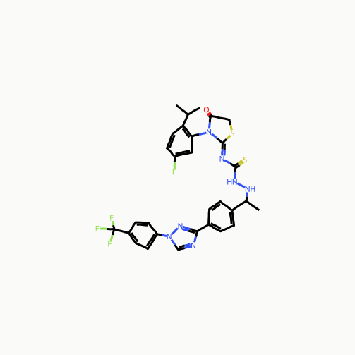 CC(C)c1ccc(F)cc1N1C(=O)CS/C1=N\C(=S)NNC(C)c1ccc(-c2ncn(-c3ccc(C(F)(F)F)cc3)n2)cc1